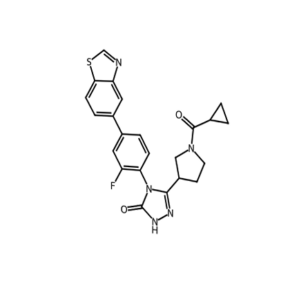 O=C(C1CC1)N1CCC(c2n[nH]c(=O)n2-c2ccc(-c3ccc4scnc4c3)cc2F)C1